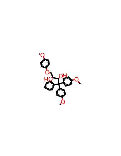 COc1ccc(OCC(O)C(O)C(c2ccccc2)(c2ccc(OC)cc2)c2ccc(OC)cc2)cc1